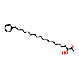 CC(=O)C(O)CCCCCCCCCCCCCCCCCc1ccccc1